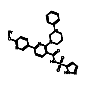 CC(C)Oc1ccc(-c2ccc(C(=O)NS(=O)(=O)c3ccn[nH]3)c(N3CCC[C@@H](c4ccccc4)C3)n2)cn1